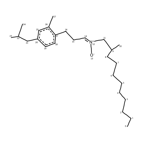 CCCCCCCCCC(C)C[N+]([O-])=CCCc1ccc(CC(C)C)cc1C